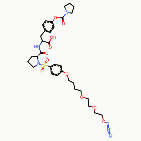 [N-]=[N+]=NOCCOCCOCCCCOc1ccc(S(=O)(=O)N2CCC[C@H]2C(=O)NC(Cc2ccc(OC(=O)N3CCCC3)cc2)C(=O)O)cc1